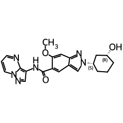 COc1cc2nn([C@H]3CCC[C@@H](O)C3)cc2cc1C(=O)Nc1cnn2cccnc12